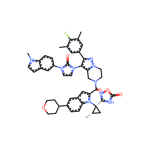 Cc1cc(-c2nn3c(c2-n2ccn(-c4ccc5c(ccn5C)c4)c2=O)CN(C(=O)c2cc4cc(C5CCOCC5)ccc4n2[C@@]2(c4noc(=O)[nH]4)C[C@@H]2C)CC3)cc(C)c1F